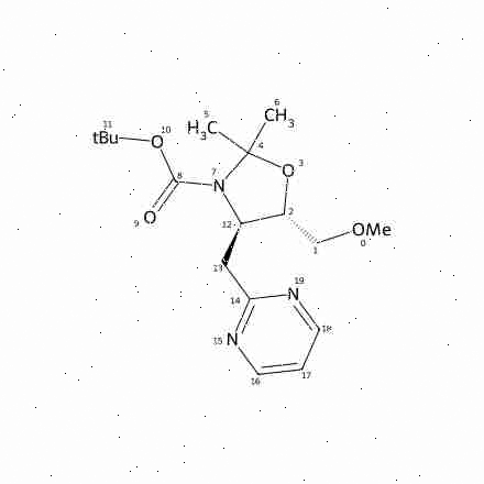 COC[C@H]1OC(C)(C)N(C(=O)OC(C)(C)C)[C@@H]1Cc1ncccn1